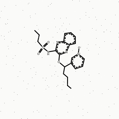 CCCCC(Oc1nc2ccccc2nc1NS(=O)(=O)CCC)c1ccc[n+]([O-])c1